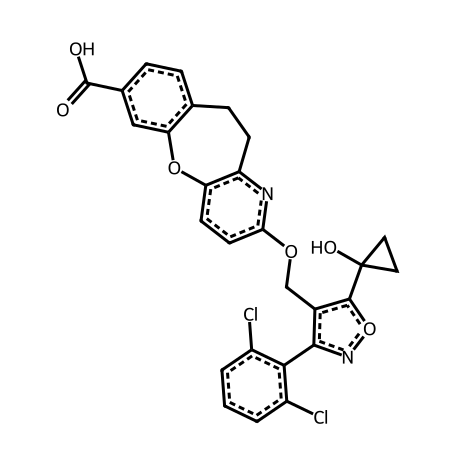 O=C(O)c1ccc2c(c1)Oc1ccc(OCc3c(-c4c(Cl)cccc4Cl)noc3C3(O)CC3)nc1CC2